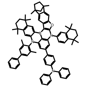 Cc1cc(-c2ccccc2)cc(C)c1N1c2cc3c(cc2B2c4c(cc(-c5ccc(N(c6ccccc6)c6ccccc6)cc5)cc41)N(c1ccc4c(c1)C(C)(C)CCC4(C)C)c1oc4cc5c(cc4c12)C1(C)CCC5(C)C1)C(C)(C)CCC3(C)C